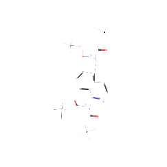 Cc1ccc2c(N(C(=O)OC(C)(C)C)C(=O)OC(C)(C)C)nccc2c1CN(C(=O)OC(C)(C)C)C(=O)OC(C)(C)C